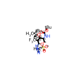 CC(C)(C)OC(=O)NC(COS(C)(=O)=O)C(O[Si](C)(C)C(C)(C)C)C(CN=[N+]=[N-])C(F)(F)F